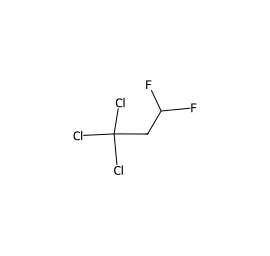 FC(F)CC(Cl)(Cl)Cl